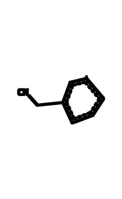 [C-]#[N+]Cc1c[c]ccc1